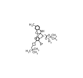 Cc1ccc(NC(=O)[C@H](CC(=O)OC(C)(C)C)Cc2noc(C3CC(CC(C)(C)C)C3)c2C2CC2)c(Cl)c1